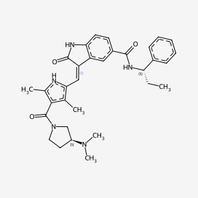 CC[C@H](NC(=O)c1ccc2c(c1)/C(=C/c1[nH]c(C)c(C(=O)N3CC[C@H](N(C)C)C3)c1C)C(=O)N2)c1ccccc1